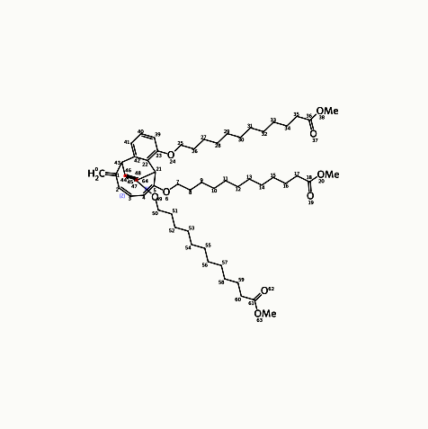 C=C1/C=C\C=C(\OCCCCCCCCCCCC(=O)OC)C2c3c(OCCCCCCCCCCCC(=O)OC)cccc3C1c1cccc(OCCCCCCCCCCCC(=O)OC)c12